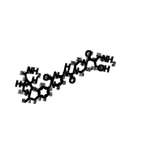 CC(Cc1ccc(-n2ccc(NC(=O)N3CCN(C(=O)C(CN)CO)CC3)nc2=O)cc1)N1C[C@@H]2[C@@H](CN)[C@@H]2C1